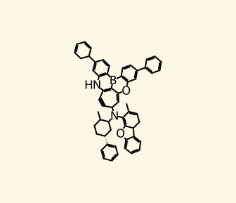 CC1=CCC2C(=C1N(C1C#CC3=C4B(c5ccc(C6C=CC=CC6)cc5N3)c3ccc(-c5ccccc5)cc3OC4=C1)C1C[C@H](c3ccccc3)CCC1C)Oc1ccccc12